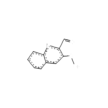 O=Cc1nc2ccccc2cc1OO